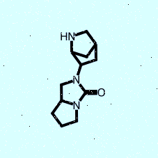 O=C1N2CCCC2CN1C1CC2CNC1C2